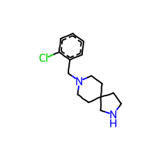 Clc1ccccc1CN1CCC2(CCNC2)CC1